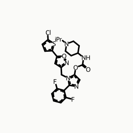 CC(C)N1CCC(NC(=O)Oc2cnc(-c3c(F)cccc3F)n2Cc2cc(-c3ccc(Cl)s3)on2)CC1